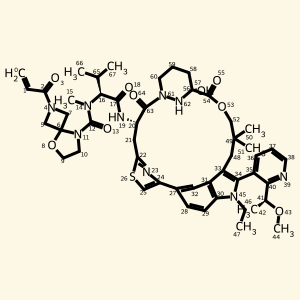 C=CC(=O)N1CC2(C1)OCCN2C(=O)N(C)[C@H](C(=O)N[C@H]1Cc2nc(cs2)-c2ccc3c(c2)c(c(-c2cccnc2[C@H](C)OC)n3CC)CC(C)(C)COC(=O)[C@@]2(O)CCCN(N2)C1=O)C(C)C